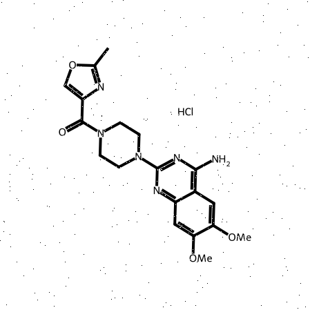 COc1cc2nc(N3CCN(C(=O)c4coc(C)n4)CC3)nc(N)c2cc1OC.Cl